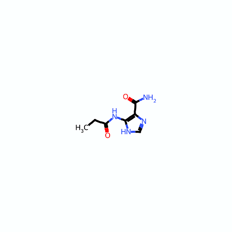 CCC(=O)Nc1[nH]cnc1C(N)=O